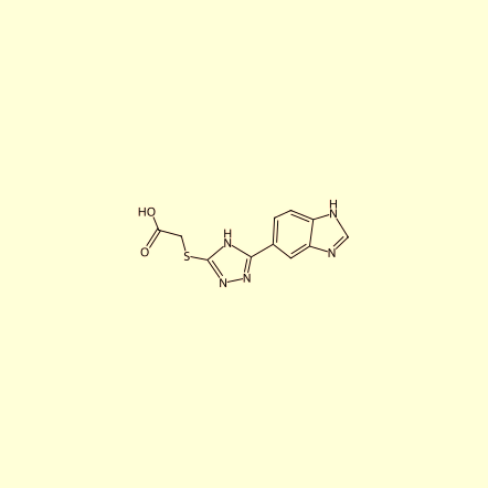 O=C(O)CSc1nnc(-c2ccc3[nH]cnc3c2)[nH]1